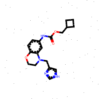 O=C(Nc1ccc2c(c1)N(Cc1c[nH]cn1)CCO2)OCC1CCC1